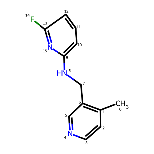 Cc1ccncc1CNc1cccc(F)n1